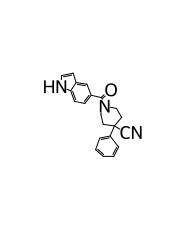 N#CC1(c2ccccc2)CCN(C(=O)c2ccc3[nH]ccc3c2)CC1